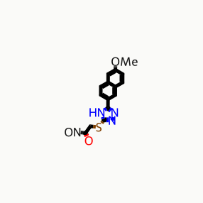 COc1ccc2cc(-c3nnc(SCC(=O)N=O)[nH]3)ccc2c1